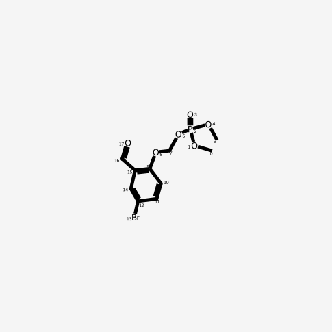 COP(=O)(OC)OCOc1ccc(Br)cc1C=O